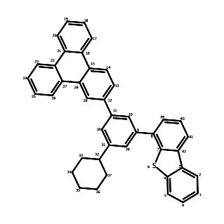 c1ccc2c(c1)sc1c(-c3cc(-c4ccc5c6ccccc6c6ccccc6c5c4)cc(C4CCCCC4)c3)cccc12